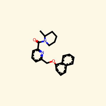 CC1CCCCN1C(=O)c1cccc(COc2cccc3ccccc23)n1